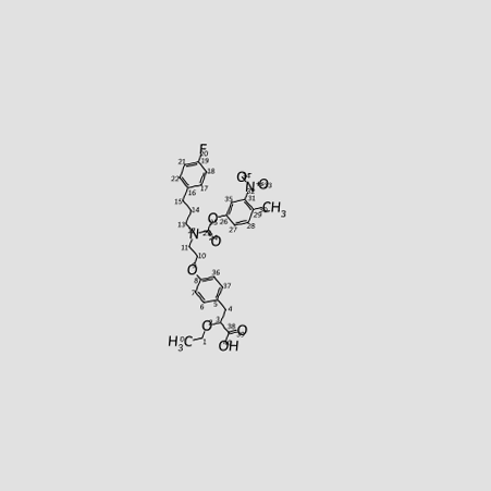 CCOC(Cc1ccc(OCCN(CCCc2ccc(F)cc2)C(=O)Oc2ccc(C)c([N+](=O)[O-])c2)cc1)C(=O)O